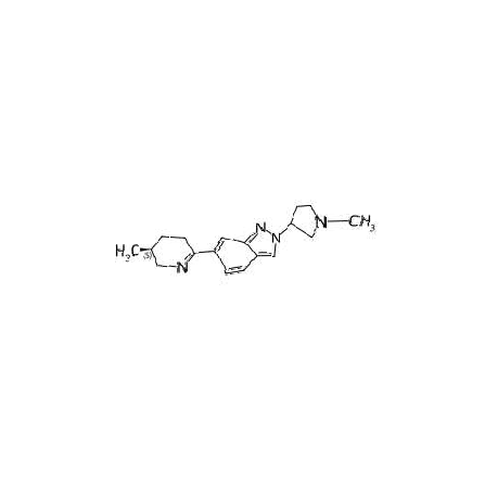 C[C@H]1CCC(c2ccc3cn(C4CCN(C)C4)nc3c2)=NC1